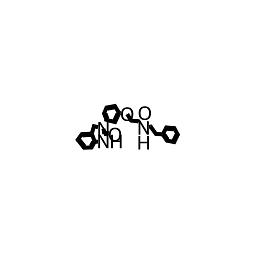 O=C(COc1cccc(N2Cc3ccccc3NC2=O)c1)NCCc1ccccc1